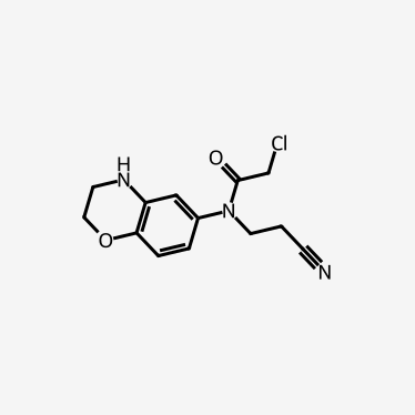 N#CCCN(C(=O)CCl)c1ccc2c(c1)NCCO2